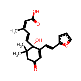 CC(=C/C(=O)O)/C=C/[C@@]1(O)C(/C=C/c2ccco2)=CC(=O)CC1(C)C